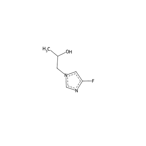 CC(O)Cn1cnc(F)c1